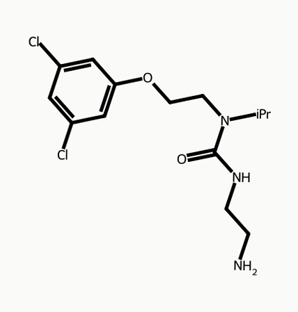 CC(C)N(CCOc1cc(Cl)cc(Cl)c1)C(=O)NCCN